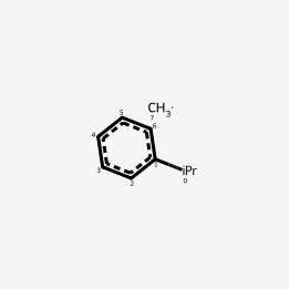 [CH2]C(C)c1ccccc1.[CH3]